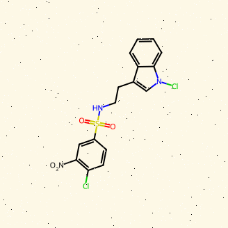 O=[N+]([O-])c1cc(S(=O)(=O)NCCc2cn(Cl)c3ccccc23)ccc1Cl